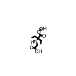 CCC(CC)(NCC(=O)O)C(=O)OO